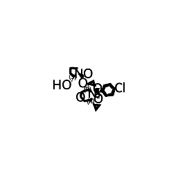 O=C(OC1([C@H]2COC[C@@H](C3CC3)N2S(=O)(=O)c2ccc(Cl)cc2)CC1)N1CCC[C@H]1CO